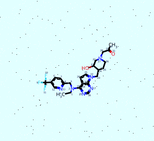 CCN(Cc1ccc(C(F)(F)F)cn1)c1ncnc2c1ccn2CC1CCN(CC(C)=O)CC1O